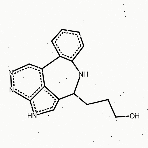 OCCCC1Nc2ccccc2-c2cnnc3[nH]cc1c23